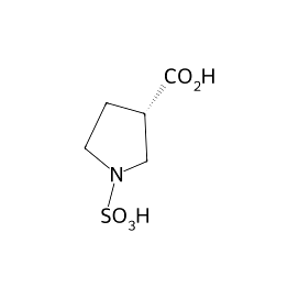 O=C(O)[C@H]1CCN(S(=O)(=O)O)C1